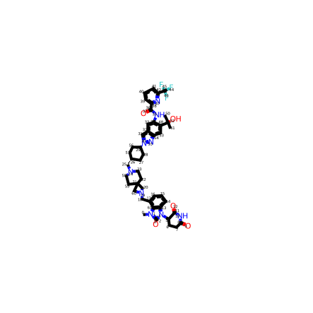 Cn1c(=O)n(C2CCC(=O)NC2=O)c2cccc(CN3CC4(CCN(C[C@H]5CC[C@H](n6cc7cc(NC(=O)c8cccc(C(F)(F)F)n8)c(C(C)(C)O)cc7n6)CC5)CC4)C3)c21